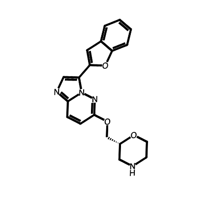 c1ccc2oc(-c3cnc4ccc(OC[C@H]5CNCCO5)nn34)cc2c1